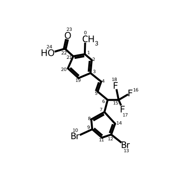 Cc1cc(C=CC(c2cc(Br)cc(Br)c2)C(F)(F)F)ccc1C(=O)O